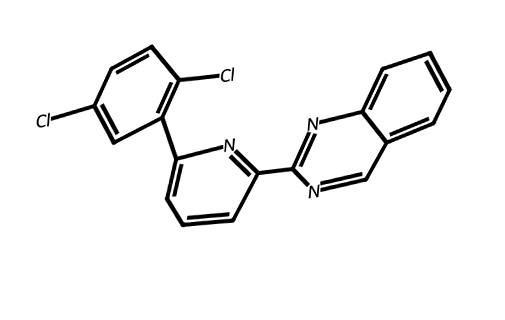 Clc1ccc(Cl)c(-c2cccc(-c3ncc4ccccc4n3)n2)c1